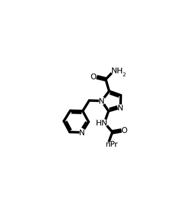 CCCC(=O)Nc1ncc(C(N)=O)n1Cc1cccnc1